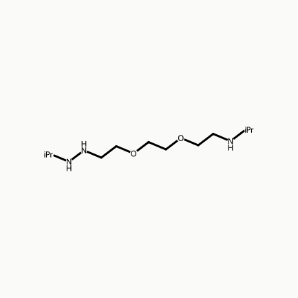 CC(C)NCCOCCOCCNNC(C)C